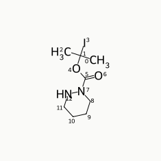 CC(C)(I)OC(=O)N1CCCCN1